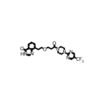 O=C(CCOCCc1cccc2c(=O)[nH]cnc12)N1CCN(c2ncc(C(F)(F)F)cn2)CC1